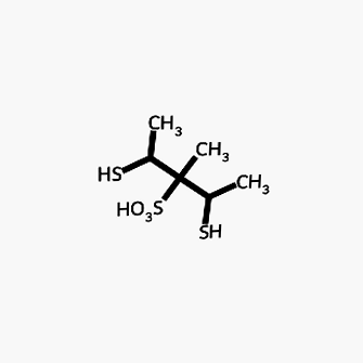 CC(S)C(C)(C(C)S)S(=O)(=O)O